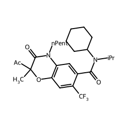 CCCCCN1C(=O)C(C)(C(C)=O)Oc2cc(C(F)(F)F)c(C(=O)N(C(C)C)C3CCCCC3)cc21